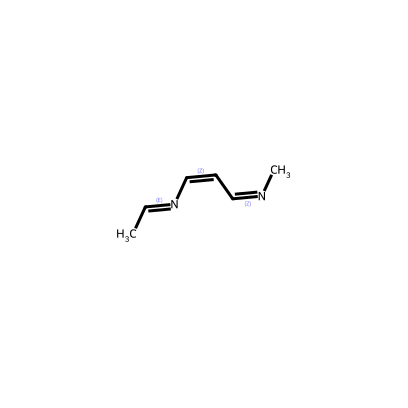 C/C=N/C=C\C=N/C